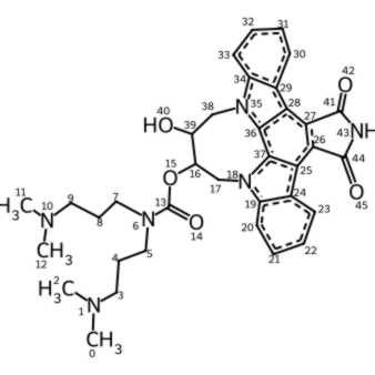 CN(C)CCCN(CCCN(C)C)C(=O)OC1Cn2c3ccccc3c3c4c(c5c6ccccc6n(c5c32)CC1O)C(=O)NC4=O